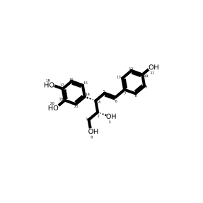 OC[C@@H](O)[C@@H](/C=C/c1ccc(O)cc1)c1ccc(O)c(O)c1